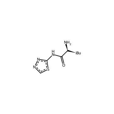 CC[C@H](C)[C@H](N)C(=O)Nc1nncs1